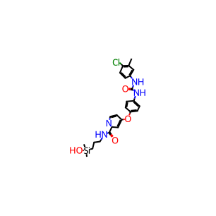 Cc1cc(NC(=O)Nc2ccc(Oc3ccnc(C(=O)NCCC[Si](C)(C)O)c3)cc2)ccc1Cl